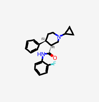 O=C(Nc1ccccc1F)[C@H]1CN(C2CC2)CC[C@@H]1c1ccccc1